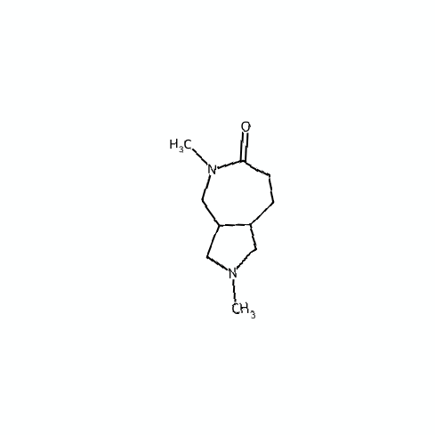 CN1CC2CCC(=O)N(C)CC2C1